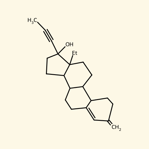 C=C1C=C2CCC3C(CCC4(CC)C3CCC4(O)C#CC)C2CC1